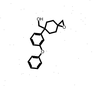 OCC1(c2cccc(Oc3ccccc3)c2)CCC2(CC1)CO2